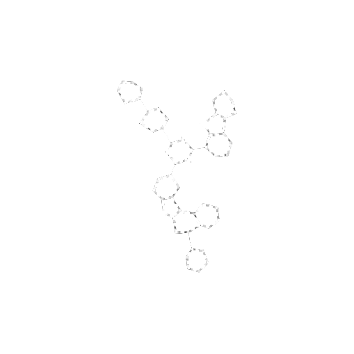 c1ccc(-c2ccc(-c3nc(-c4ccc5oc6cc(-c7ccccc7)c7ccccc7c6c5c4)nc(-c4cccc5c4oc4ccccc45)n3)cc2)cc1